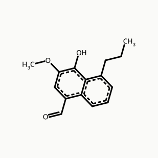 CCCc1cccc2c(C=O)cc(OC)c(O)c12